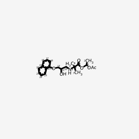 CC(=O)OC(C)OC(=O)C(C)(C)NCC(O)COc1cccc2ccccc12